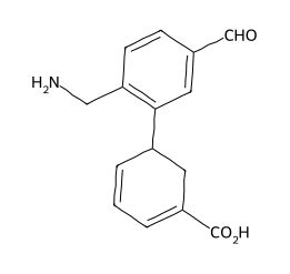 NCc1ccc(C=O)cc1C1C=CC=C(C(=O)O)C1